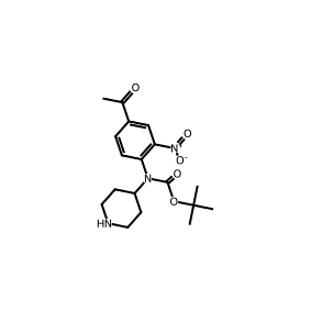 CC(=O)c1ccc(N(C(=O)OC(C)(C)C)C2CCNCC2)c([N+](=O)[O-])c1